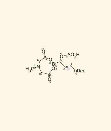 CCCCCCCCCC/C=C/C(OS(=O)(=O)O)B1OC(=O)CN(C)CC(=O)O1